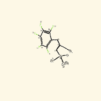 CC[Si](CC)(CC(C)Cc1c(F)c(F)c(F)c(F)c1F)OC